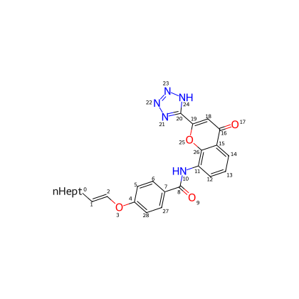 CCCCCCC/C=C/Oc1ccc(C(=O)Nc2cccc3c(=O)cc(-c4nnn[nH]4)oc23)cc1